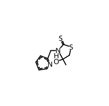 CC1(O)CSC(=S)N1Cc1ccccn1